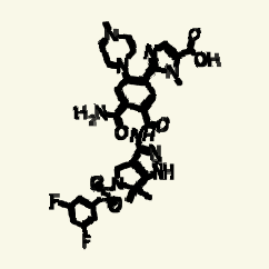 CN1CCN(c2cc(C(N)=O)c(C(=O)Nc3n[nH]c4c3CN(S(=O)(=O)c3cc(F)cc(F)c3)C4(C)C)cc2-c2ncc(C(=O)O)n2C)CC1